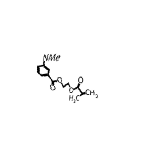 C=C(C)C(=O)OCCOC(=O)c1cccc(NC)c1